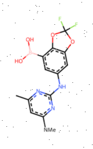 CNc1cc(C)nc(Nc2cc3c(c(B(O)O)c2)OC(F)(F)O3)n1